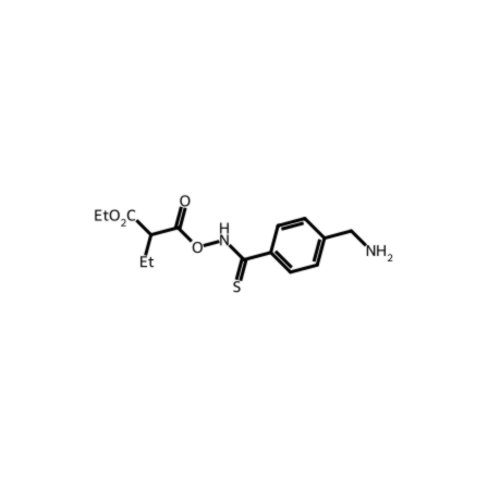 CCOC(=O)C(CC)C(=O)ONC(=S)c1ccc(CN)cc1